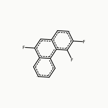 Fc1[c]cc2cc(F)c3c[c]ccc3c2c1F